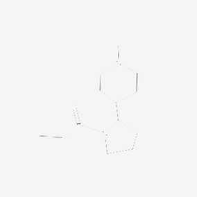 CCC(=S)N1CCCC1C1CCN(C)CC1